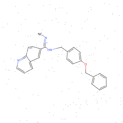 N#C/N=C(/NCc1ccc(OCc2ccccc2)cc1)c1ccc2ncccc2c1